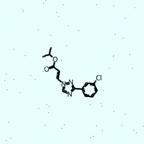 CC(C)OC(=O)C=Cn1cnc(-c2cccc(Cl)c2)n1